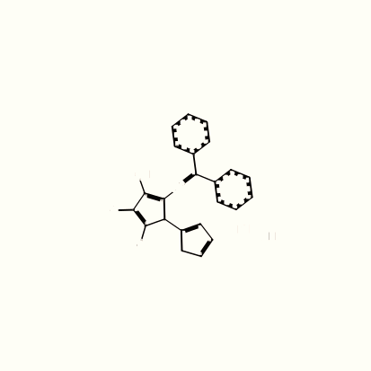 CC1=C(C)C(C2=CC=CC2)[C]([Zr]=[C](c2ccccc2)c2ccccc2)=C1C.Cl.Cl